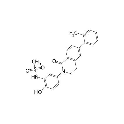 CS(=O)(=O)Nc1cc(N2CCc3cc(-c4ccccc4C(F)(F)F)ccc3C2=O)ccc1O